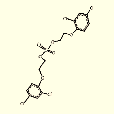 O=S(=O)(OCCOc1ccc(Cl)cc1Cl)OCCOc1ccc(Cl)cc1Cl